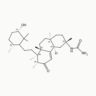 C[C@@H]1CC[C@H](O)C(C)(C)C1CC[C@]1(C)[C@@H](C)C(=O)C=C2[C@@H]3C[C@@](C)(NC(N)=O)CC[C@]3(C)CC[C@]21C